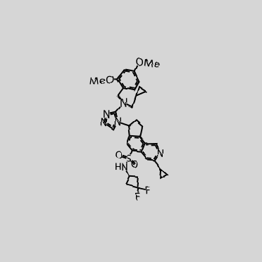 COc1ccc(CN(CC2CC2)c2nncn2C2CCc3c2cc(S(=O)(=O)NC2CC(F)(F)C2)c2cc(C4CC4)ncc32)c(OC)c1